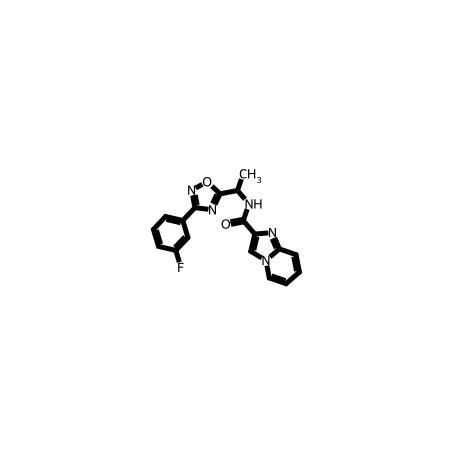 CC(NC(=O)c1cn2ccccc2n1)c1nc(-c2cccc(F)c2)no1